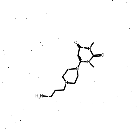 Cn1c(N2CCN(CCCN)CC2)cc(=O)n(C)c1=O